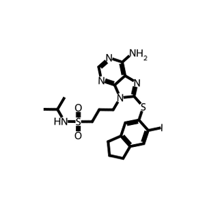 CC(C)NS(=O)(=O)CCCn1c(Sc2cc3c(cc2I)CCC3)nc2c(N)ncnc21